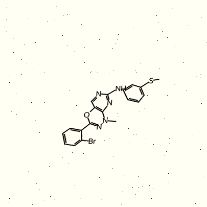 CSc1cccc(Nc2ncc3c(n2)N(C)N=C(c2ccccc2Br)O3)c1